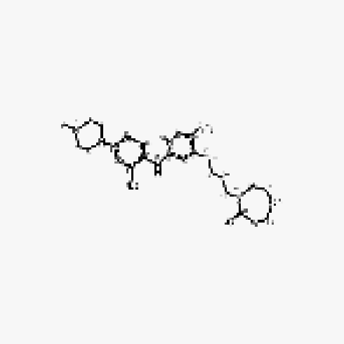 CCc1cc(N2CCN(C)CC2)ccc1Nc1cc(NCCCN2CCOCCC2=O)c(C(F)(F)F)cn1